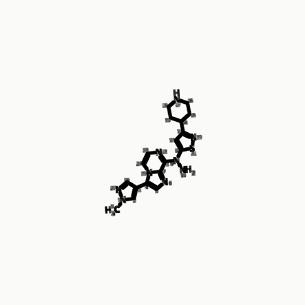 Cn1cc(-c2cnc3c(N(N)c4cc(C5CCNCC5)ns4)nccn23)cn1